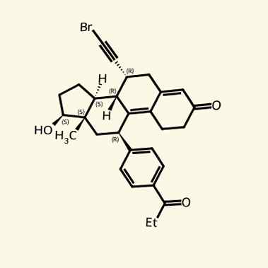 CCC(=O)c1ccc([C@H]2C[C@]3(C)[C@@H](O)CC[C@H]3[C@H]3C2=C2CCC(=O)C=C2C[C@H]3C#CBr)cc1